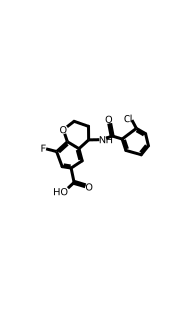 O=C(O)c1cc(F)c2c(c1)C(NC(=O)c1ccccc1Cl)CCO2